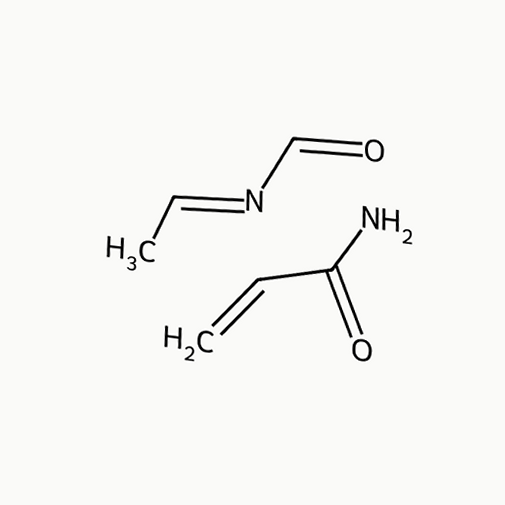 C=CC(N)=O.CC=NC=O